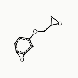 c1cc2c(cc1OCC1CO1)O2